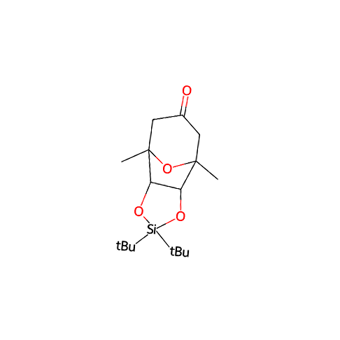 CC12CC(=O)CC(C)(O1)C1O[Si](C(C)(C)C)(C(C)(C)C)OC12